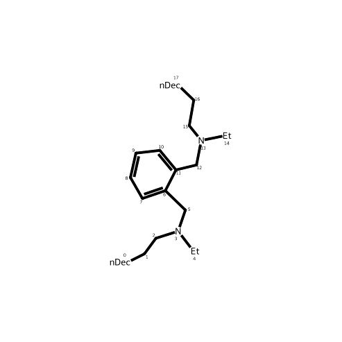 CCCCCCCCCCCCN(CC)Cc1ccccc1CN(CC)CCCCCCCCCCCC